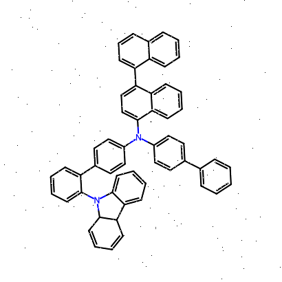 C1=CC2c3ccccc3N(c3ccccc3-c3ccc(N(c4ccc(-c5ccccc5)cc4)c4ccc(-c5cccc6ccccc56)c5ccccc45)cc3)C2C=C1